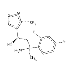 Cc1nocc1[C@H](O)CC(C)(N)c1ccc(F)cc1F